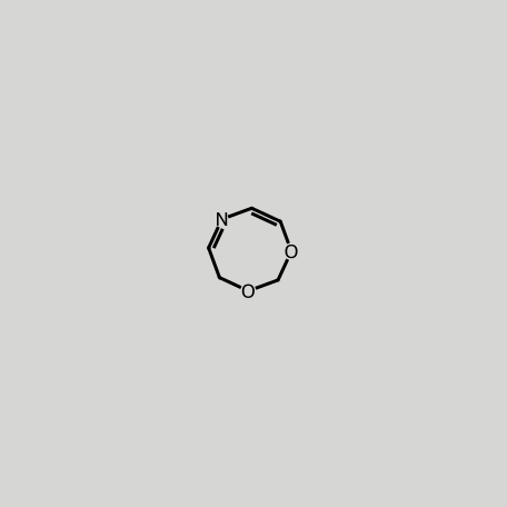 C1=COCOCC=N1